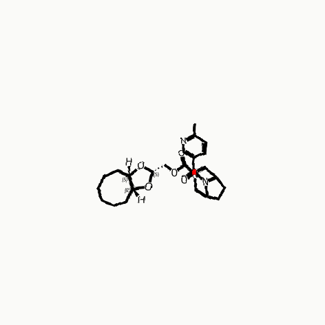 Cc1ccc(C(=O)N2C3CCC2CN(C(=O)OC[C@H]2O[C@H]4CCCCCC[C@H]4O2)C3)cn1